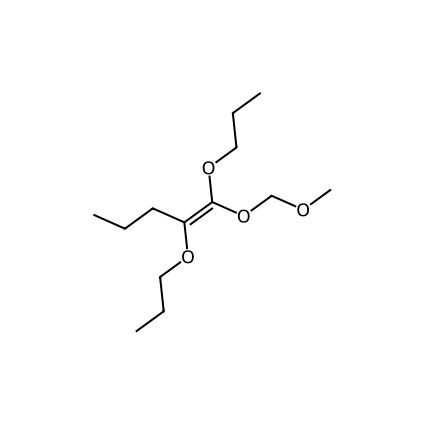 CCCO/C(CCC)=C(/OCCC)OCOC